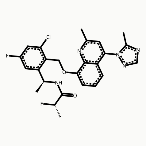 Cc1cc(-n2ncnc2C)c2cccc(OCc3c(Cl)cc(F)cc3[C@H](C)NC(=O)[C@H](C)F)c2n1